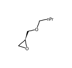 [CH2]CCCOC[C@@H]1CO1